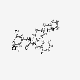 O=C(Nc1cc(F)cc(C(F)(F)F)c1)N(Cc1ccccc1)C1CCN(Cc2ccc[nH]2)CC1